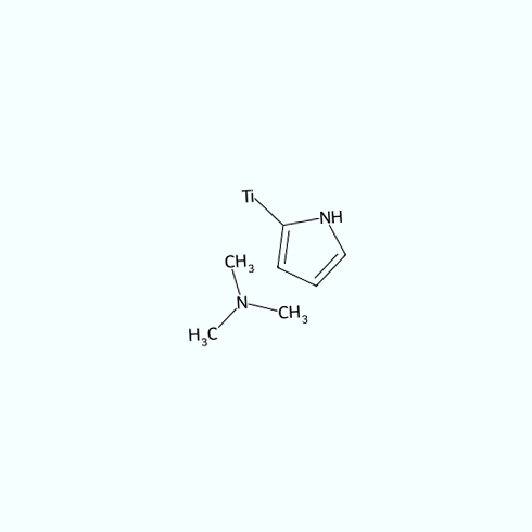 CN(C)C.[Ti][c]1ccc[nH]1